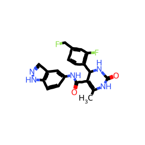 CC1=C(C(=O)Nc2ccc3[nH]ncc3c2)C(c2ccc(CF)cc2F)NC(=O)N1